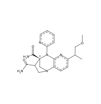 COCC(C)c1ccc2c(n1)N(c1ccccn1)[C@]1(C(N)=O)CN2CC1C(N)=O